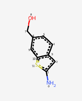 Nc1cc2ccc(CO)cc2s1